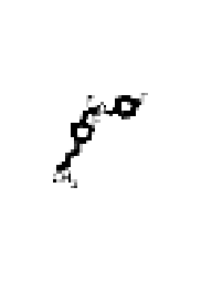 CC=CCCC1CCC(CC(F)(F)OCc2ccc(F)cc2)CC1